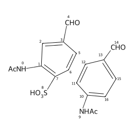 CC(=O)Nc1cc(C=O)ccc1S(=O)(=O)O.CC(=O)Nc1ccc(C=O)cc1